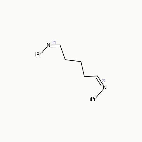 CC(C)/N=C\CCC/C=N\C(C)C